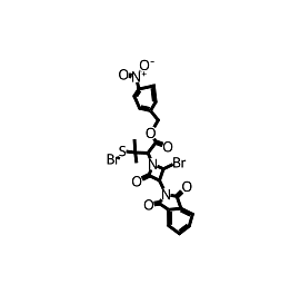 CC(C)(SBr)C(C(=O)OCc1ccc([N+](=O)[O-])cc1)N1C(=O)C(N2C(=O)c3ccccc3C2=O)C1Br